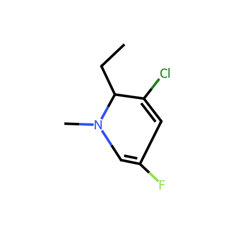 CCC1C(Cl)=CC(F)=CN1C